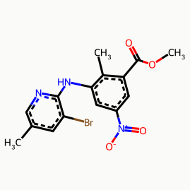 COC(=O)c1cc([N+](=O)[O-])cc(Nc2ncc(C)cc2Br)c1C